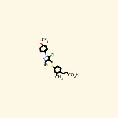 Cc1cc(SCc2c(C(C)C)nn(-c3ccc(OC(F)(F)F)cc3)c2Cl)ccc1CCC(=O)O